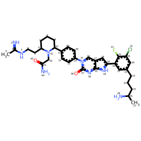 CC(=N)NCCC1CCCC(c2ccc(-n3cc4cc(-c5cc(CCCC(C)N)cc(Cl)c5F)[nH]c4nc3=O)cc2)N1CC(N)=O